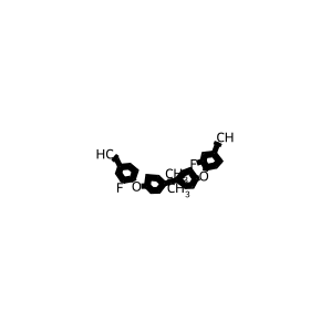 C#Cc1ccc(Oc2ccc(C(C)(C)c3ccc(Oc4ccc(C#C)cc4F)cc3)cc2)c(F)c1